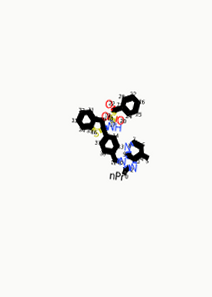 CCCc1nc2c(C)ccnc2n1Cc1ccc(C2(NS(=O)(=O)C(=O)c3ccccc3)Cc3ccccc3S2)cc1